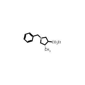 CCOC(=O)C1CN(Cc2ccccc2)C[C@H]1C